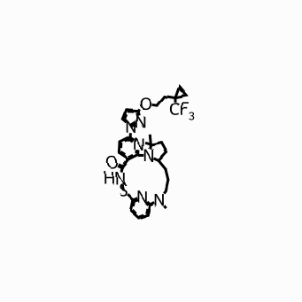 CN1CCCC2CCC(C)(C)N2c2nc(-n3ccc(OCCC4(C(F)(F)F)CC4)n3)ccc2C(=O)NSc2cccc1n2